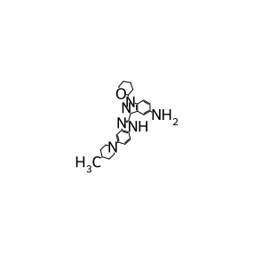 CC1CCN(c2ccc3[nH]c(-c4nn(C5CCCCO5)c5ccc(N)cc45)nc3c2)CC1